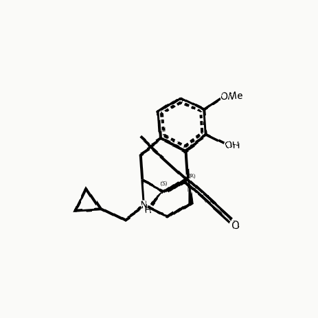 COc1ccc2c(c1O)[C@@]13CCN(CC4CC4)C(C2)[C@H]1CCC(=O)C3